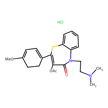 COC1=CC=C(C2=C(OC(C)=O)C(=O)N(CCN(C)C)c3ccccc3S2)CC1.Cl